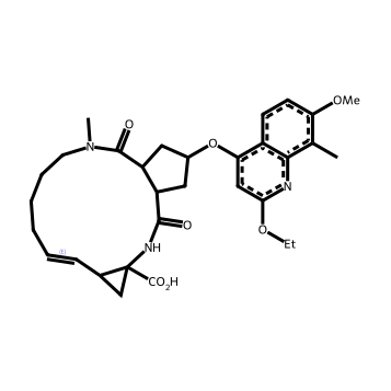 CCOc1cc(OC2CC3C(=O)NC4(C(=O)O)CC4/C=C/CCCCN(C)C(=O)C3C2)c2ccc(OC)c(C)c2n1